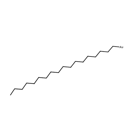 CCCCCCCCCCCCCCCCCC[As]